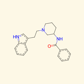 O=C(NC1CCCN(CCc2c[nH]c3ccccc23)C1)c1ccccc1